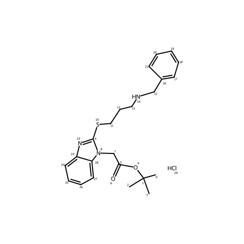 CC(C)(C)OC(=O)Cn1c(SCCCNCc2ccccc2)nc2ccccc21.Cl